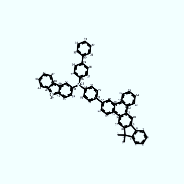 CC1(C)c2ccccc2-c2cc3c4ccccc4c4cc(-c5ccc(N(c6ccc(-c7ccccc7)cc6)c6ccc7oc8ccccc8c7c6)cc5)ccc4c3cc21